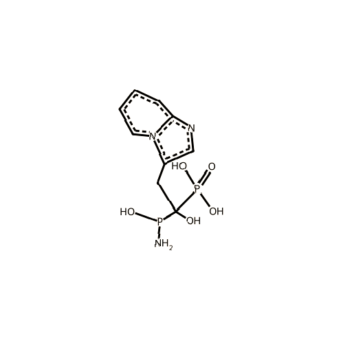 NP(O)C(O)(Cc1cnc2ccccn12)P(=O)(O)O